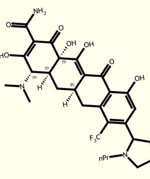 CCCN1CCCC1c1cc(O)c2c(c1C(F)(F)F)C[C@H]1C[C@H]3[C@H](N(C)C)C(O)=C(C(N)=O)C(=O)[C@@]3(O)C(O)=C1C2=O